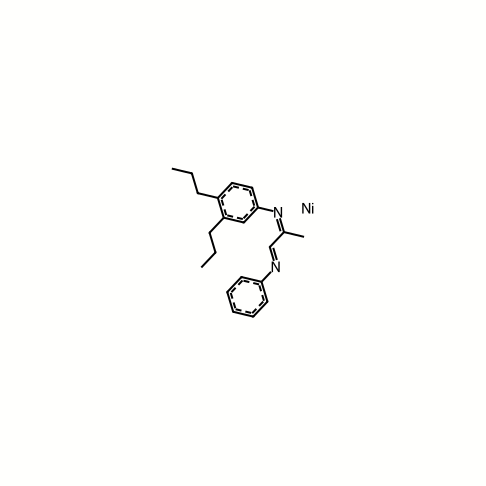 CCCc1ccc(N=C(C)C=Nc2ccccc2)cc1CCC.[Ni]